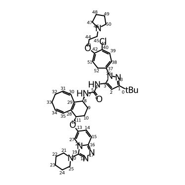 CC(C)(C)c1cc(NC(=O)N[C@H]2CC[C@@H](Oc3ccc4nnc(N5CCCCC5)n4c3)C3=C2/C=C\CC/C=C\3)n(C2=CC=C(Cl)C(OCCN3CCCC3)=CC2)n1